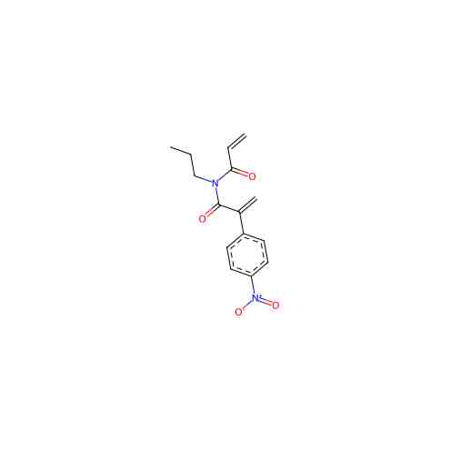 C=CC(=O)N(CCC)C(=O)C(=C)c1ccc([N+](=O)[O-])cc1